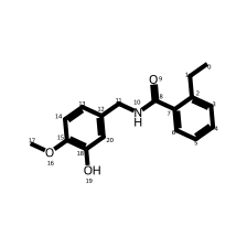 CCc1ccccc1C(=O)NCc1ccc(OC)c(O)c1